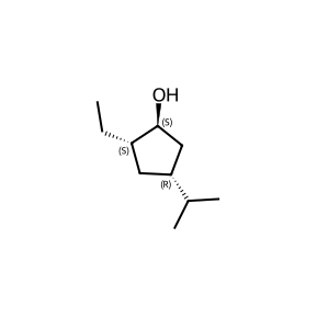 CC[C@H]1C[C@@H](C(C)C)C[C@@H]1O